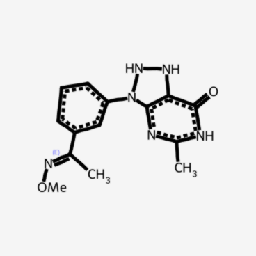 CO/N=C(\C)c1cccc(N2NNc3c2nc(C)[nH]c3=O)c1